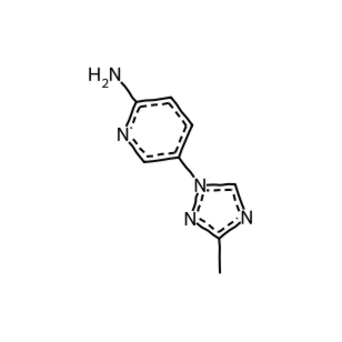 Cc1ncn(-c2ccc(N)nc2)n1